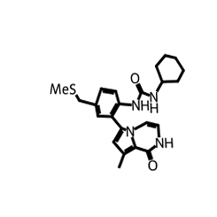 CSCc1ccc(NC(=O)NC2CCCCC2)c(-c2cc(C)c3c(=O)[nH]ccn23)c1